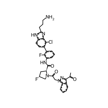 CC(=O)c1nn(CC(=O)N2C[C@H](F)C[C@H]2C(=O)Nc2cccc(-c3ccc4[nH]c(CCCN)nc4c3Cl)c2F)c2ccccc12